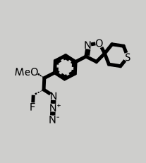 CO[C@H](c1ccc(C2=NOC3(CCSCC3)C2)cc1)[C@@H](CF)N=[N+]=[N-]